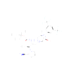 C=C(C(CN1C[C@@H]2CC1C(=O)N2c1cc(C(F)(F)F)cc(C(F)(F)F)c1)NC(=O)OC(C)(C)C)N1CCCC1C#N